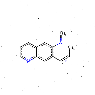 C=Nc1cc2cccnc2cc1/C=C\C